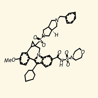 COc1ccc2c(c1)C1CC1(S(=O)(=O)N1CC3CN(Cc4ccccc4)C[C@H]3C1)Cn1c-2c(C2CCCCC2)c2ccc(C(=O)NS(=O)(=O)N3CCOCC3)cc21